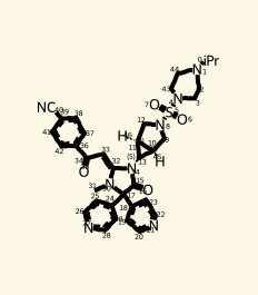 CC(C)N1CCN(S(=O)(=O)N2C[C@@H]3[C@H](C2)[C@H]3N2C(=O)C(c3ccncc3)(c3ccncc3)N(C)C2=CC(=O)c2ccc(C#N)cc2)CC1